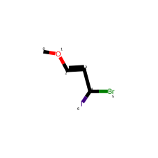 COC=CC(Br)I